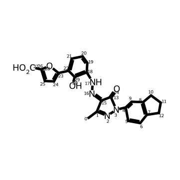 CC1=NN(c2ccc3c(c2)CCC3)C(=O)C1=NNc1cccc(-c2ccc(C(=O)O)o2)c1O